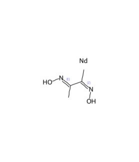 CC(=N/O)/C(C)=N/O.[Nd]